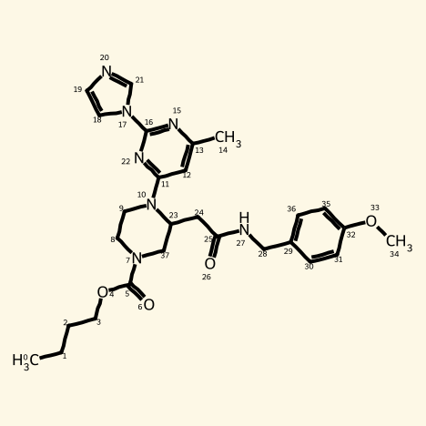 CCCCOC(=O)N1CCN(c2cc(C)nc(-n3ccnc3)n2)C(CC(=O)NCc2ccc(OC)cc2)C1